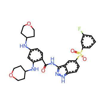 O=C(Nc1n[nH]c2ccc(S(=O)(=O)c3cccc(F)c3)cc12)c1ccc(NC2CCOCC2)cc1NC1CCOCC1